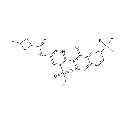 CCS(=O)(=O)c1cc(NC(=O)C2CC(C)C2)cnc1-n1ncc2ccc(C(F)(F)F)cc2c1=O